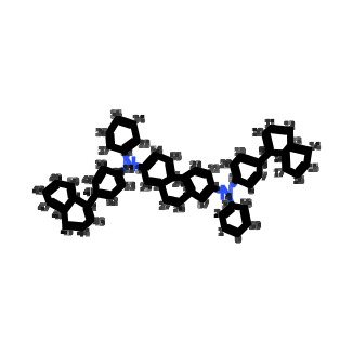 c1ccc(N(c2ccc(-c3cccc4ccccc34)cc2)c2ccc3c(ccc4cc(N(c5ccccc5)c5ccc(-c6cccc7ccccc67)cc5)ccc43)c2)cc1